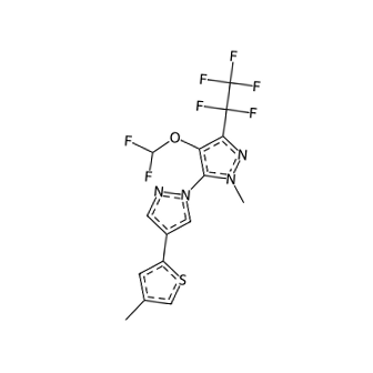 Cc1csc(-c2cnn(-c3c(OC(F)F)c(C(F)(F)C(F)(F)F)nn3C)c2)c1